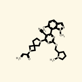 C=CC(=O)N1CC2(CCN(c3nc(OCC4CCCN4C)nc(-c4c(C)ccc5cnn(C)c45)c3C#N)C2)C1